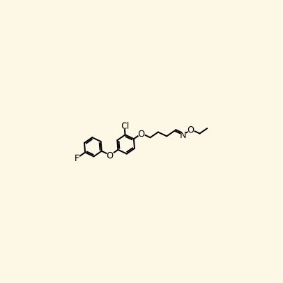 CCON=CCCCOc1ccc(Oc2cccc(F)c2)cc1Cl